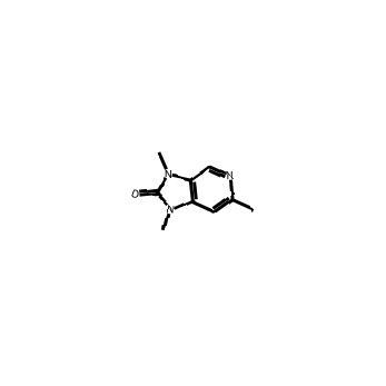 Cc1cc2c(cn1)n(C)c(=O)n2C